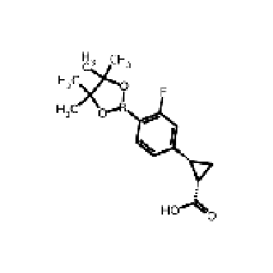 CC1(C)OB(c2ccc([C@H]3C[C@@H]3C(=O)O)cc2F)OC1(C)C